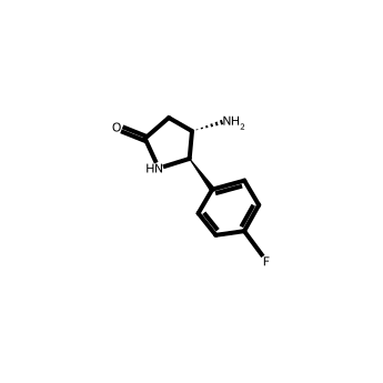 N[C@H]1CC(=O)N[C@@H]1c1ccc(F)cc1